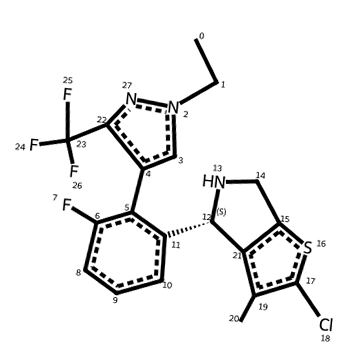 CCn1cc(-c2c(F)cccc2[C@@H]2NCc3sc(Cl)c(C)c32)c(C(F)(F)F)n1